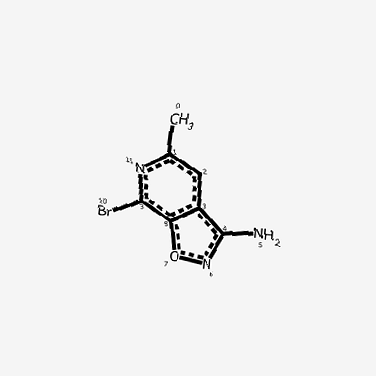 Cc1cc2c(N)noc2c(Br)n1